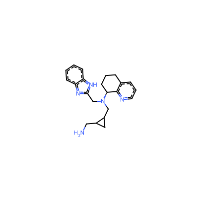 NCC1CC1CN(Cc1nc2ccccc2[nH]1)[C@H]1CCCc2cccnc21